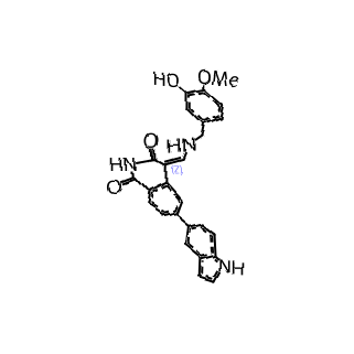 COc1ccc(CN/C=C2\C(=O)NC(=O)c3ccc(-c4ccc5[nH]ccc5c4)cc32)cc1O